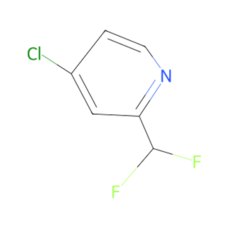 FC(F)c1cc(Cl)ccn1